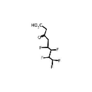 O=C(O)CC(=O)CC(F)C(F)C(F)C(F)F